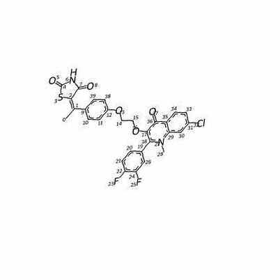 C/C(=C1\SC(=O)NC1=O)c1ccc(OCCOc2c(-c3ccc(F)c(F)c3)n(C)c3cc(Cl)ccc3c2=O)cc1